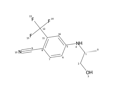 C[C@H](CO)Nc1ccc(C#N)c(C(F)(F)F)c1